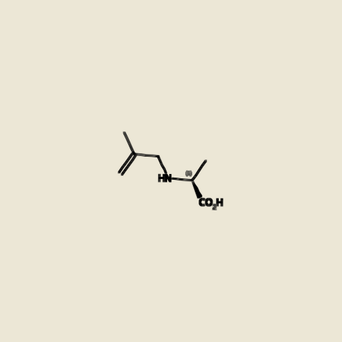 C=C(C)CN[C@@H](C)C(=O)O